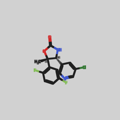 C[C@@]1(c2cc(F)ccc2F)OC(=O)N[C@@H]1c1cncc(Cl)c1